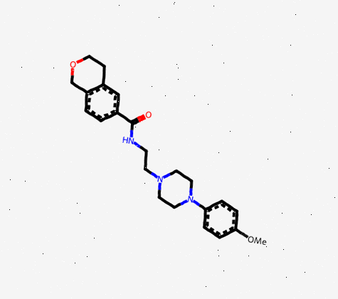 COc1ccc(N2CCN(CCNC(=O)c3ccc4c(c3)CCOC4)CC2)cc1